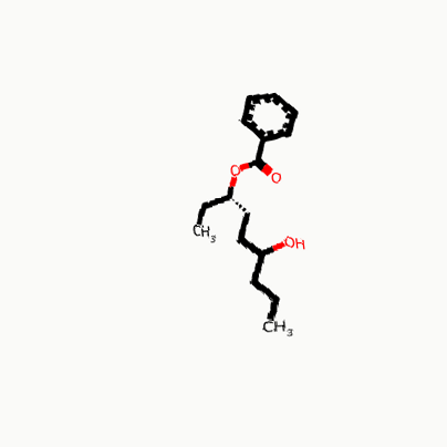 CCCC(O)CC[C@H](CC)OC(=O)c1[c]cccc1